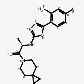 C[C@@H](Nc1nnc(-c2ccc(Cl)cc2N)o1)C(=O)N1CCC2(CC1)CC2